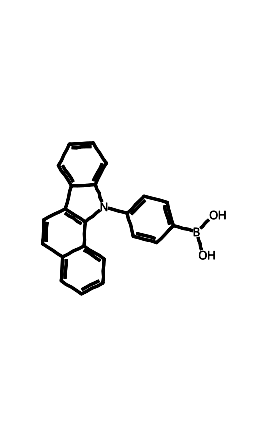 OB(O)c1ccc(-n2c3ccccc3c3ccc4ccccc4c32)cc1